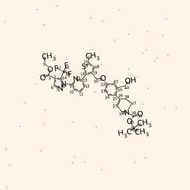 CCOC(=O)c1cnn(-c2cccc(-c3sc(C)cc3COc3ccc(C4=CCN(C(=O)OC(C)(C)C)CC4)c(CO)c3)n2)c1C(F)(F)F